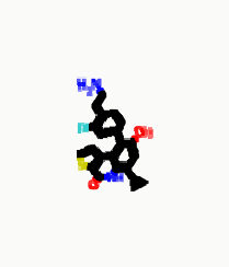 NCCc1ccc(-c2c(O)cc(C3CC3)c3[nH]c(=O)c4sccc4c23)cc1F